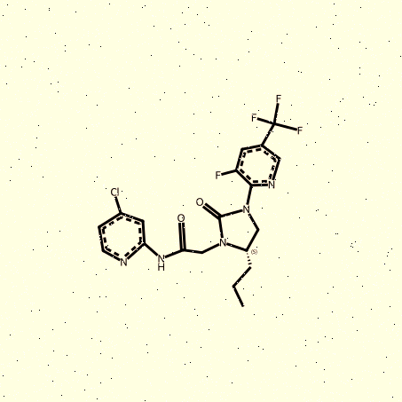 CCC[C@H]1CN(c2ncc(C(F)(F)F)cc2F)C(=O)N1CC(=O)Nc1cc(Cl)ccn1